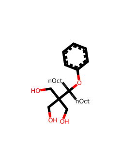 CCCCCCCCC(CCCCCCCC)(Oc1ccccc1)C(CO)(CO)CO